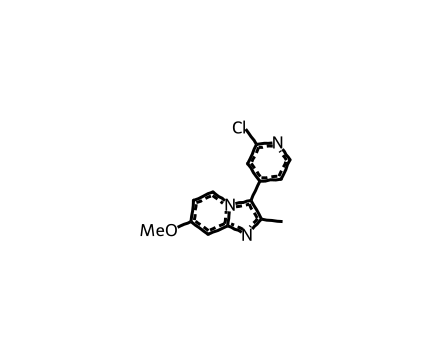 COc1ccn2c(-c3ccnc(Cl)c3)c(C)nc2c1